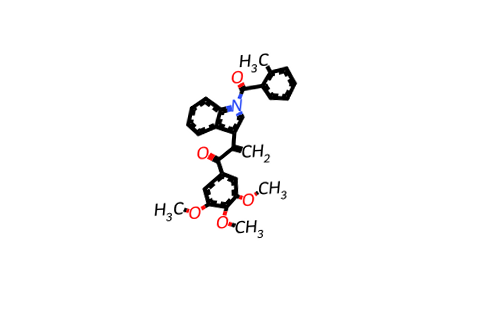 C=C(C(=O)c1cc(OC)c(OC)c(OC)c1)c1cn(C(=O)c2ccccc2C)c2ccccc12